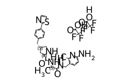 Cc1nc(N)ccc1CNC(=O)[C@H](C)NC(=O)[C@H]1C[C@H](Cc2ccc(-c3nccs3)cc2)CN1.O=C(O)C(F)(F)F.O=C(O)C(F)(F)F